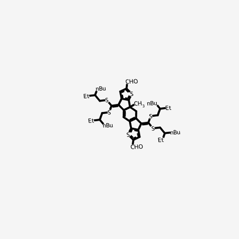 CCCCC(CC)CSC(SCC(CC)CCCC)=C1C2=C(C=C3C(=C(SCC(CC)CCCC)SCC(CC)CCCC)c4cc(C=O)sc4C3(C)C2)c2sc(C=O)cc21